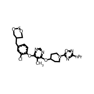 CCCc1noc(N2CCC(Oc3ncnc(Oc4ccc(CC5COSOC5)cc4Cl)c3C)CC2)n1